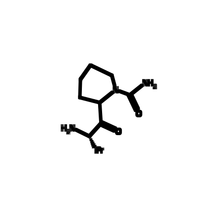 CC(C)[C@H](N)C(=O)C1CCCCN1C(N)=O